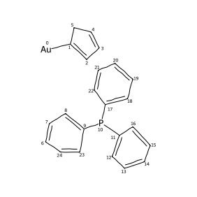 [Au][C]1=CC=CC1.c1ccc(P(c2ccccc2)c2ccccc2)cc1